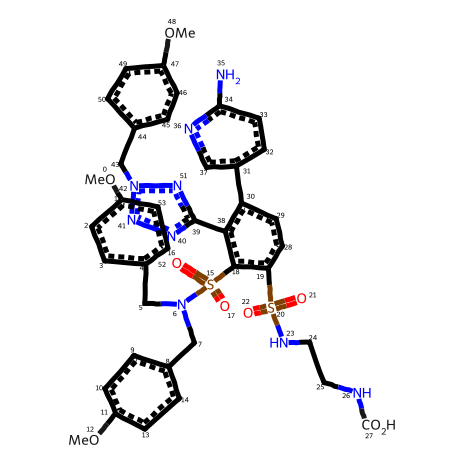 COc1ccc(CN(Cc2ccc(OC)cc2)S(=O)(=O)c2c(S(=O)(=O)NCCNC(=O)O)ccc(-c3ccc(N)nc3)c2-c2nnn(Cc3ccc(OC)cc3)n2)cc1